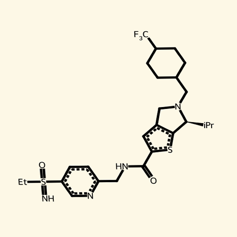 CCS(=N)(=O)c1ccc(CNC(=O)c2cc3c(s2)[C@H](C(C)C)N(CC2CCC(C(F)(F)F)CC2)C3)nc1